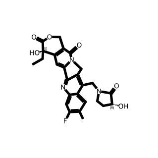 CC[C@@]1(O)C(=O)OCc2c1cc1n(c2=O)Cc2c-1nc1cc(F)c(C)cc1c2CN1CC[C@@H](O)C1=O